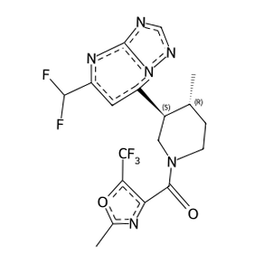 Cc1nc(C(=O)N2CC[C@@H](C)[C@H](c3cc(C(F)F)nc4ncnn34)C2)c(C(F)(F)F)o1